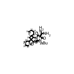 CCCCN1C(=O)C(=C(N)N)C(=O)N(C2C3(CCCCC3)CC2(C(N)=O)c2cnccn2)C1=O